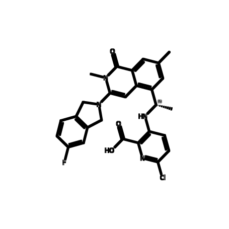 Cc1cc([C@H](C)Nc2ccc(Cl)nc2C(=O)O)c2cc(N3Cc4ccc(F)cc4C3)n(C)c(=O)c2c1